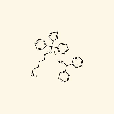 BC(c1ccccc1)c1ccccc1.CCCCC=C[SiH2]C(c1ccccc1)(c1ccccc1)n1ccnc1